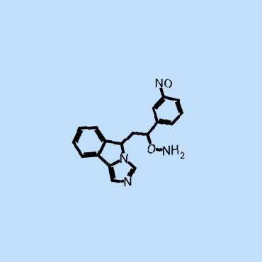 NOC(CC1c2ccccc2-c2cncn21)c1cccc(N=O)c1